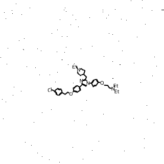 CCN(CC)CCCOc1ccc(-n2cc(-c3ccc(OCCc4ccc(Cl)cc4)cc3)nc2CC2CCN(CC)CC2)cc1